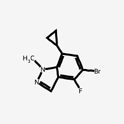 Cn1ncc2c(F)c(Br)cc(C3CC3)c21